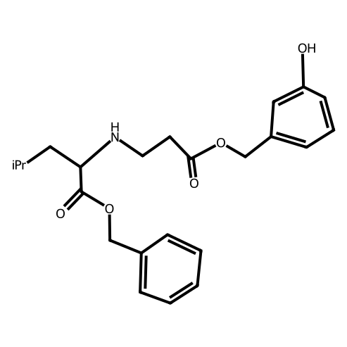 CC(C)CC(NCCC(=O)OCc1cccc(O)c1)C(=O)OCc1ccccc1